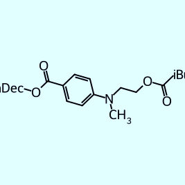 CCCCCCCCCCOC(=O)c1ccc(N(C)CCOC(=O)C(C)CC)cc1